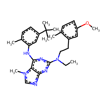 CCN(CCc1cc(OC)ccc1C)c1nc(Nc2cc(C(C)(C)C)ccc2C)c2c(ncn2C)n1